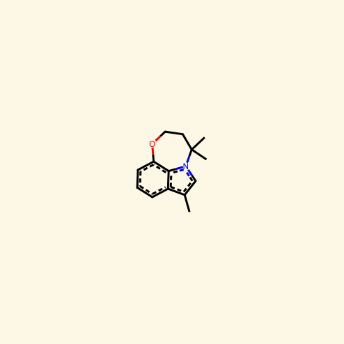 Cc1cn2c3c(cccc13)OCCC2(C)C